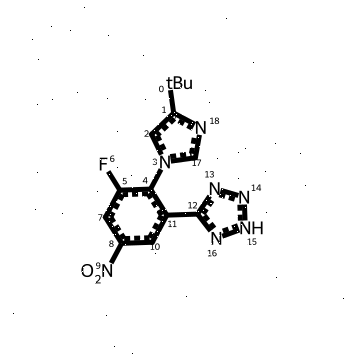 CC(C)(C)c1cn(-c2c(F)cc([N+](=O)[O-])cc2-c2nn[nH]n2)cn1